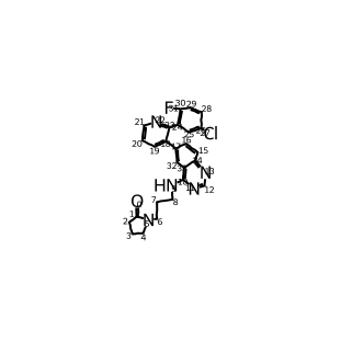 O=C1CCCN1CCCNc1ncnc2ccc(-c3cccnc3-c3cc(Cl)ccc3F)cc12